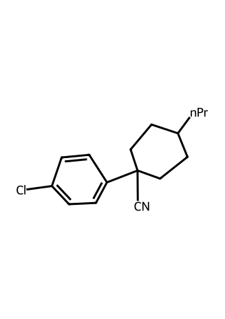 CCCC1CCC(C#N)(c2ccc(Cl)cc2)CC1